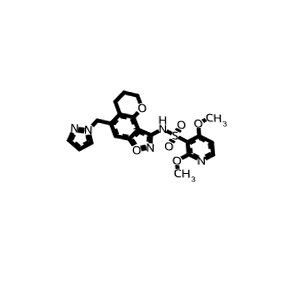 COc1ccnc(OC)c1S(=O)(=O)Nc1noc2cc(Cn3cccn3)c3c(c12)OCCC3